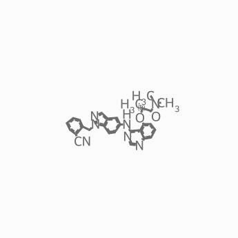 C[C@@H](Oc1cccc2ncnc(Nc3ccc4c(cnn4Cc4ccccc4C#N)c3)c12)C(=O)N(C)C